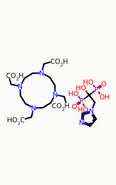 O=C(O)CN1CCN(CC(=O)O)CCN(CC(=O)O)CCN(CC(=O)O)CC1.O=P(O)(O)C(O)(Cn1ccnc1)P(=O)(O)O